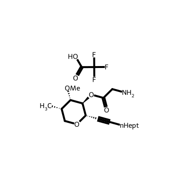 CCCCCCCC#C[C@@H]1OC[C@H](C)[C@H](OC)[C@H]1OC(=O)CN.O=C(O)C(F)(F)F